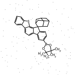 CC1(C)OB(c2ccc3c(c2)-c2ccc4c(sc5ccccc54)c2C32C3CC4CC(C3)CC2C4)OC1(C)C